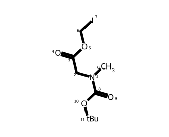 CN(CC(=O)OCI)C(=O)OC(C)(C)C